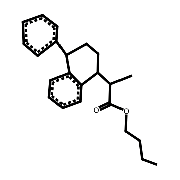 CCCCOC(=O)C(C)C1CCC(c2ccccc2)c2ccccc21